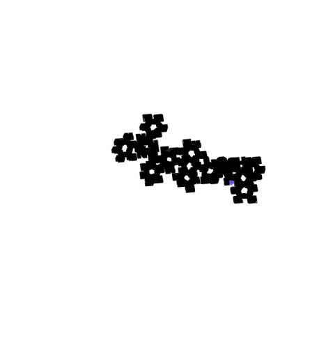 C=c1/c(=C\c2c(C)oc3cc(-c4c5ccccc5c(-c5ccc6c(c5)c5ccccc5n6-c5nc(-c6ccccc6)nc(-c6ccccc6)n5)c5ccccc45)ccc23)c2ccccc2c2ccccc12